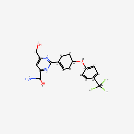 NC(O)c1cc(CO)nc(C2=CCC(Oc3ccc(C(F)(F)F)cc3)CC2)n1